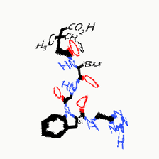 CCC(C)C(NC(=O)CC(C)(C)CC(=O)O)C(=O)NCC(=O)N1c2ccccc2C[C@H]1C(=O)NCc1nn[nH]n1